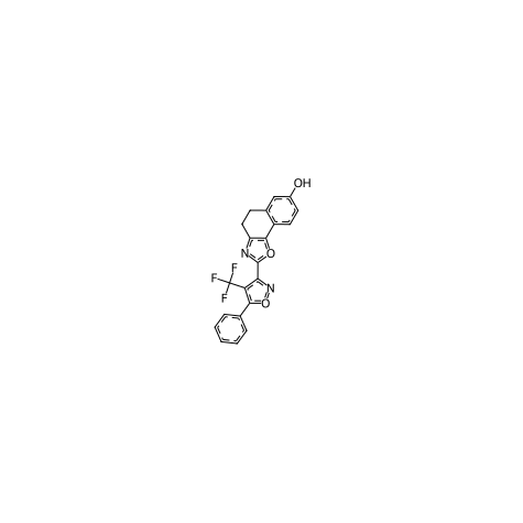 Oc1ccc2c(c1)CCc1nc(-c3noc(-c4ccccc4)c3C(F)(F)F)oc1-2